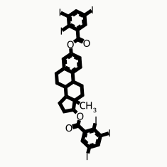 CC12CCC3c4ccc(OC(=O)c5cc(I)cc(I)c5I)cc4CCC3C1CCC2OC(=O)c1cc(I)cc(I)c1I